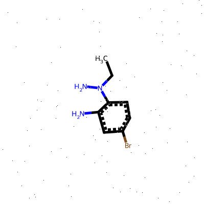 CCN(N)c1ccc(Br)cc1N